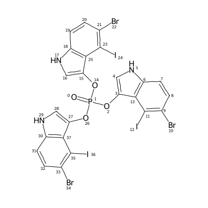 O=P(Oc1c[nH]c2ccc(Br)c(I)c12)(Oc1c[nH]c2ccc(Br)c(I)c12)Oc1c[nH]c2ccc(Br)c(I)c12